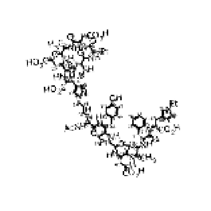 CC[C@H](C)C(NN)C(=O)N[C@@H](C(=O)NC(CC(=O)O)C(=O)N[C@H](C)C(=O)N[C@H](CCC(=O)O)C(=O)NC(Cc1cn(CCCN[C@H](NC(C)=O)C(=O)N[C@H](Cc2ccc(O)cc2)C(CC(C)C)NCC(=O)N[C@H](CCC(=O)O)C(=O)N[C@H](C)C(=O)N[C@H](Cc2ccccc2)C(=O)N[C@H](Cc2cn(CC)nn2)C(=O)O)nn1)C(=O)O)C(C)C